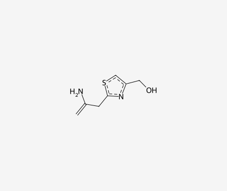 C=C(N)Cc1nc(CO)cs1